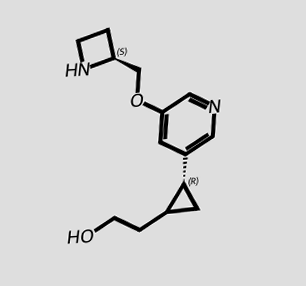 OCCC1C[C@H]1c1cncc(OC[C@@H]2CCN2)c1